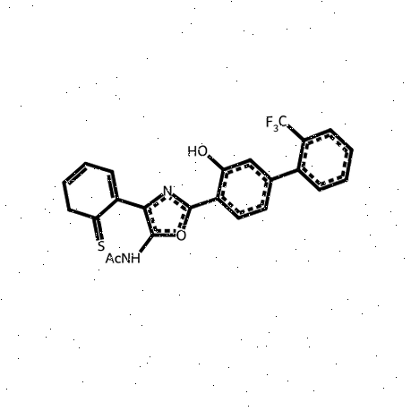 CC(=O)Nc1oc(-c2ccc(-c3ccccc3C(F)(F)F)cc2O)nc1C1=CC=CCC1=S